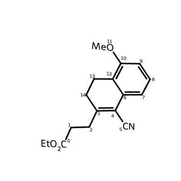 CCOC(=O)CCC1=C(C#N)c2cccc(OC)c2CC1